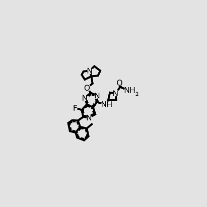 Cc1cccc2cccc(-c3ncc4c(NC5CN(C(N)=O)C5)nc(OCC56CCCN5CCC6)nc4c3F)c12